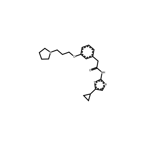 O=C(Cc1cccc(OCCCN2CCCC2)c1)Nc1ncc(C2CC2)s1